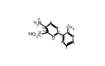 Cc1ccccc1-c1ccc(N)c(C(=O)O)n1